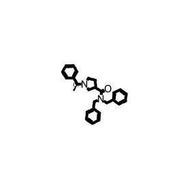 C[C@@H](c1ccccc1)N1CCC(C(=O)N(Cc2ccccc2)Cc2ccccc2)C1